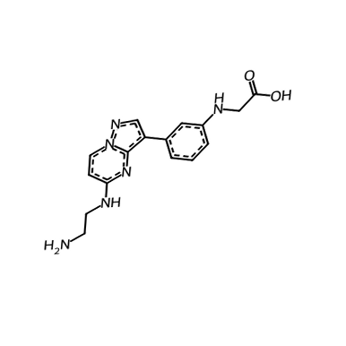 NCCNc1ccn2ncc(-c3cccc(NCC(=O)O)c3)c2n1